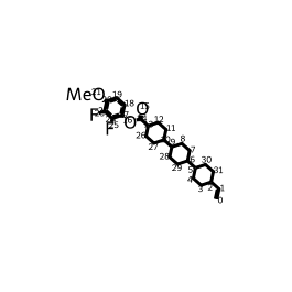 C=CC1CCC(C2CCC(C3CCC(C(=O)Oc4ccc(OC)c(F)c4F)CC3)CC2)CC1